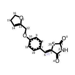 O=C1NC(=O)/C(=C/c2ccc(OCC3=CCCO3)cc2)S1